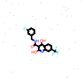 O=C(NCc1cccc(F)c1)c1c(O)nc2cc(C(F)(F)F)ccc2c1O